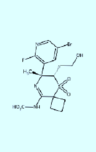 C[C@]1(c2cc(Br)cnc2F)N=C(NC(=O)O)C2(CCC2)S(=O)(=O)[C@H]1CCO